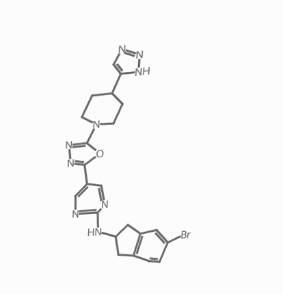 Brc1ccc2c(c1)CC(Nc1ncc(-c3nnc(N4CCC(c5cnn[nH]5)CC4)o3)cn1)C2